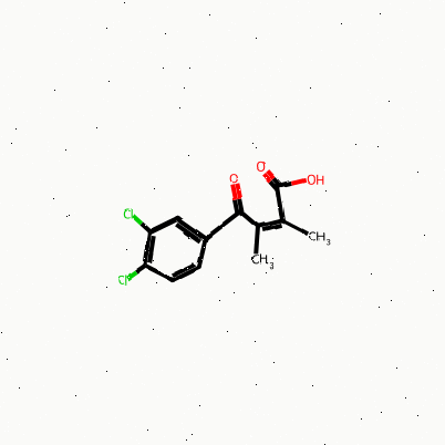 CC(C(=O)O)=C(C)C(=O)c1ccc(Cl)c(Cl)c1